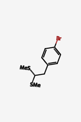 CSC(Cc1ccc(Br)cc1)SC